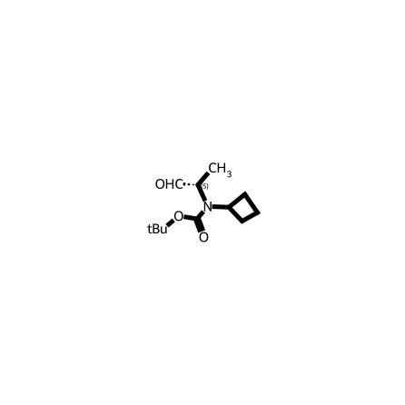 C[C@@H](C=O)N(C(=O)OC(C)(C)C)C1CCC1